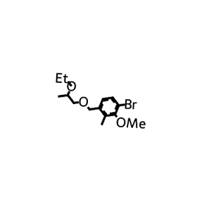 CCOC(C)COCc1ccc(Br)c(OC)c1C